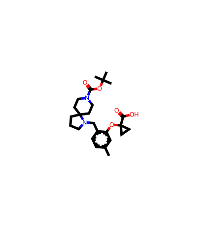 Cc1ccc(CN2CCCC23CCN(C(=O)OC(C)(C)C)CC3)c(OC2(C(=O)O)CC2)c1